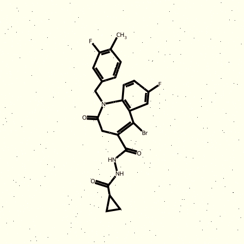 Cc1ccc(CN2C(=O)CC(C(=O)NNC(=O)C3CC3)=C(Br)c3cc(F)ccc32)cc1F